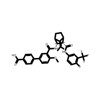 COc1ccc(-c2ccc(C(=O)O)cc2)cc1C(=O)N[C@@H]1C2CCC(C2=C(C)C)[C@@H]1C(=O)Nc1ccc(F)c(C(F)(F)F)c1